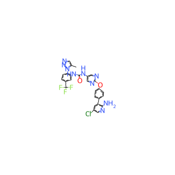 Cc1cnnn1-c1ccc(C(F)(F)F)cc1NC(=O)Nc1cnc(Oc2ccc(-c3cc(Cl)cnc3N)cc2)nc1